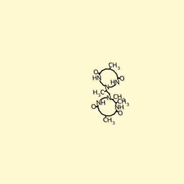 CC1CCC(=O)NCCN(C(C)CN2CCNC(=O)CCC(C)CCC(=O)NC(C)C2C)CCNC(=O)CC1